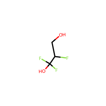 OCC(F)C(O)(F)F